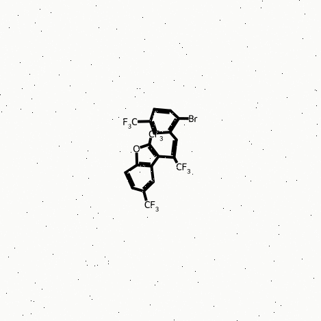 FC(F)(F)/C(=C/c1cc(C(F)(F)F)ccc1Br)c1c(C(F)(F)F)oc2ccc(C(F)(F)F)cc12